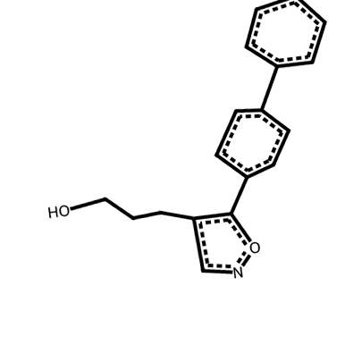 OCCCc1cnoc1-c1ccc(-c2ccccc2)cc1